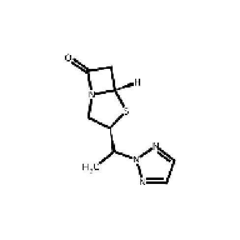 CC([C@H]1CN2C(=O)C[C@@H]2S1)n1nccn1